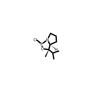 CC(C)[C@]1(C)OP(Cl)N2CCC[C@H]21